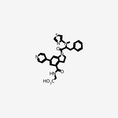 CN(c1cscn1)C(Cc1ccccc1)C(=O)N1CCc2c(C(=O)NCC(=O)O)cc(-c3ccncc3)cc21